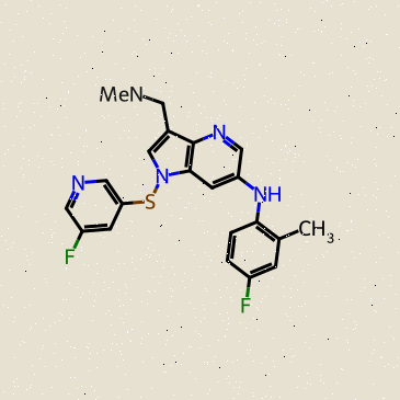 CNCc1cn(Sc2cncc(F)c2)c2cc(Nc3ccc(F)cc3C)cnc12